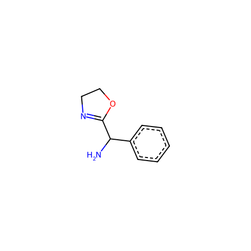 NC(C1=NCCO1)c1ccccc1